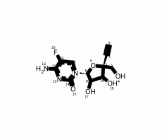 C#C[C@]1(CO)O[C@@H](n2cc(F)c(N)nc2=O)C(O)C1O